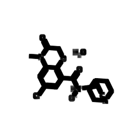 CN1C(=O)COc2c(C(=O)[NH+]([O-])C3CN4CCC3CC4)cc(Cl)cc21.O